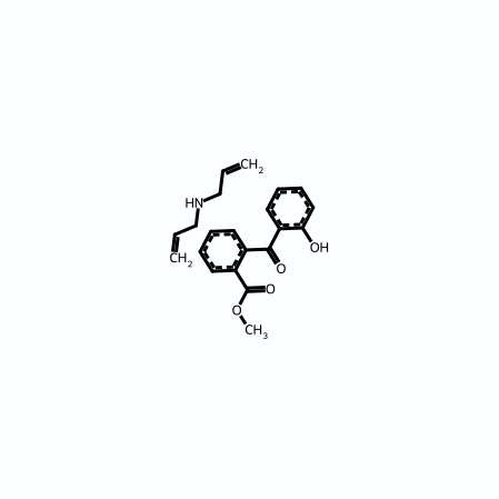 C=CCNCC=C.COC(=O)c1ccccc1C(=O)c1ccccc1O